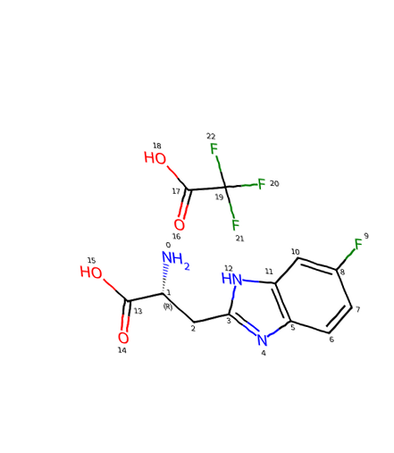 N[C@H](Cc1nc2ccc(F)cc2[nH]1)C(=O)O.O=C(O)C(F)(F)F